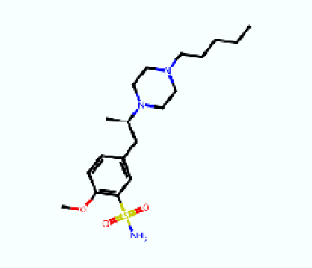 CCCCCN1CCN([C@H](C)Cc2ccc(OC)c(S(N)(=O)=O)c2)CC1